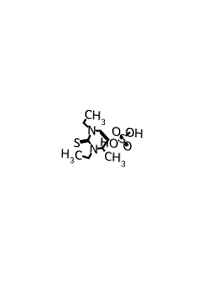 CCN1C=CC(C)N(CC)C1=S.O=S(=O)(O)O